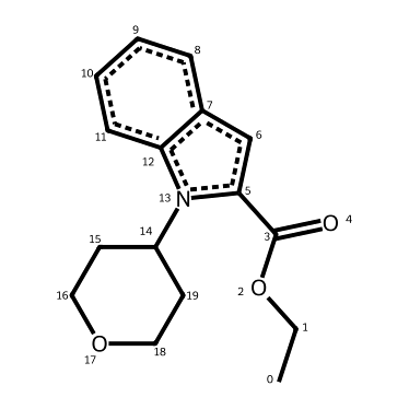 CCOC(=O)c1cc2ccccc2n1C1CCOCC1